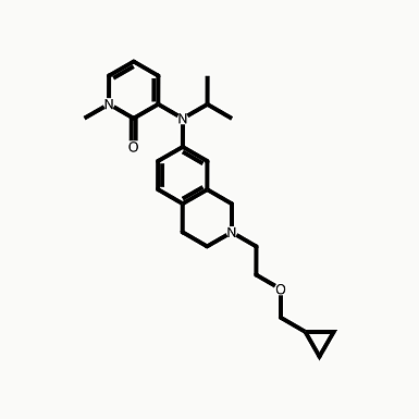 CC(C)N(c1ccc2c(c1)CN(CCOCC1CC1)CC2)c1cccn(C)c1=O